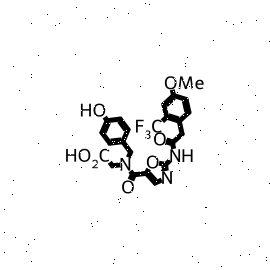 COc1ccc(CC(=O)Nc2ncc(C(=O)N(CC(=O)O)Cc3ccc(O)cc3)o2)c(C(F)(F)F)c1